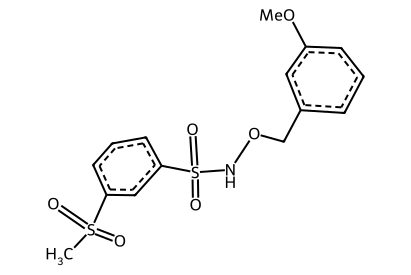 COc1cccc(CONS(=O)(=O)c2cccc(S(C)(=O)=O)c2)c1